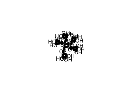 O=C(CC1C(OC(=O)c2cc(O)c(O)c(O)c2)C(COC(=O)c2cc(O)c(O)c(O)c2)CC(OC(=O)c2cc(O)c(O)c(O)c2)C1OC(=O)c1cc(O)c(O)c(O)c1)c1cc(O)c(O)c(O)c1